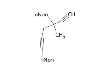 C#CC(C)(CC#CCCCCCCCC[CH2])CCCCCCCCC